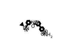 NS(=O)(=O)c1ccc(-c2ccnc(C(=O)Nc3cccc(-c4nncn4C4CC4)c3)c2)cc1